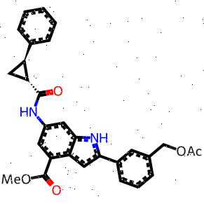 COC(=O)c1cc(NC(=O)[C@@H]2C[C@H]2c2ccccc2)cc2[nH]c(-c3cccc(COC(C)=O)c3)cc12